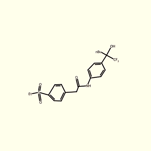 CCCCC(O)(c1ccc(NC(=O)Cc2ccc(S(=O)(=O)CC)cc2)cc1)C(F)(F)F